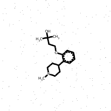 CN1CCC(c2ccccc2OCCC(C)(C)O)CC1